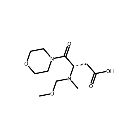 COCN(C)[C@@H](CC(=O)O)C(=O)N1CCOCC1